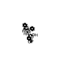 CC(C)C(NC(=O)N[C@@H](CC(=O)O)c1ccc2c(c1)OCO2)C(Sc1ccccc1)Sc1ccccc1